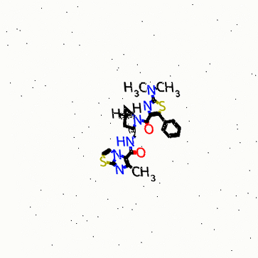 Cc1nc2sccn2c1C(=O)NC[C@@H]1C[C@@H]2C[C@@H]2N1C(=O)c1nc(N(C)C)sc1-c1ccccc1